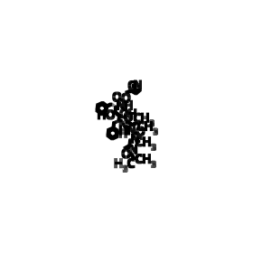 CC(C)c1nc(CN(C)C(=O)N[C@H](C(=O)N[C@@H](Cc2ccccc2)[C@H](O)[C@H](O)[C@H](Cc2ccccc2)NC(=O)OCc2ccno2)C(C)C)co1